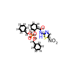 O=C(Nc1ncc([N+](=O)[O-])s1)c1ccccc1OP(=O)(OCc1ccccc1)OCc1ccccc1